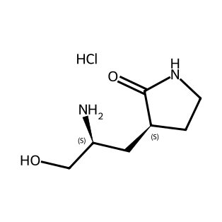 Cl.N[C@H](CO)C[C@@H]1CCNC1=O